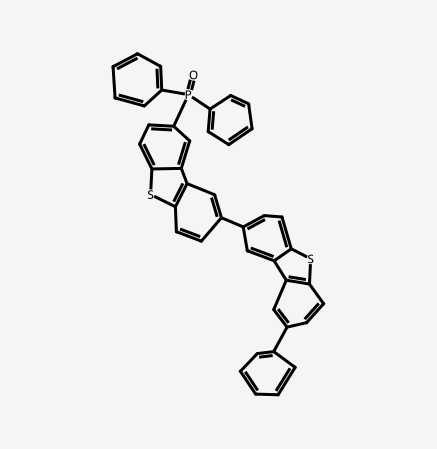 O=P(c1ccccc1)(c1ccccc1)c1ccc2sc3ccc(-c4ccc5sc6ccc(-c7ccccc7)cc6c5c4)cc3c2c1